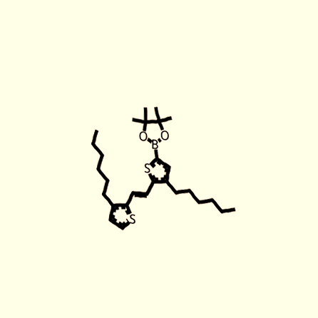 CCCCCCc1ccsc1/C=C/c1sc(B2OC(C)(C)C(C)(C)O2)cc1CCCCCC